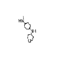 IN[C@H]1CC[C@H](NC2CCOCC2)CC1